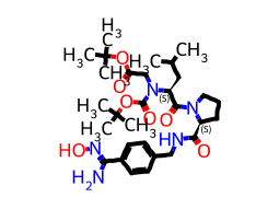 CC(C)C[C@@H](C(=O)N1CCC[C@H]1C(=O)NCc1ccc(C(N)=NO)cc1)N(CC(=O)OC(C)(C)C)C(=O)OC(C)(C)C